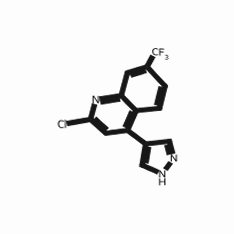 FC(F)(F)c1ccc2c(-c3cn[nH]c3)cc(Cl)nc2c1